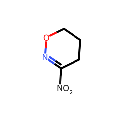 O=[N+]([O-])C1=NOCCC1